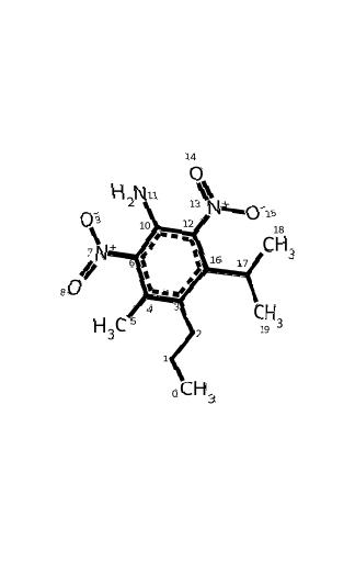 CCCc1c(C)c([N+](=O)[O-])c(N)c([N+](=O)[O-])c1C(C)C